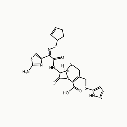 Nc1nc(/C(=N/OC2C=CCC2)C(=O)NC2C(=O)N3C(C(=O)O)=C(CSc4cnn[nH]4)CS[C@H]23)cs1